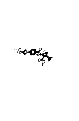 COC1CN(c2ccc(C(=O)Nc3scc(C4CC4)c3C(=O)OI)cc2)C1